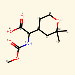 COC(=O)NC(C(=O)O)C1CCOC(C)(C)C1